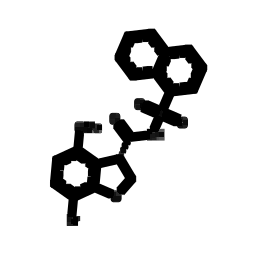 COc1ccc(Br)c2c1[C@H](C(=O)NS(=O)(=O)c1cccc3ccccc13)CO2